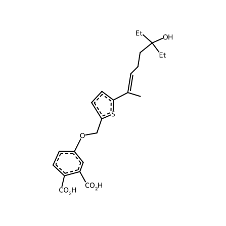 CCC(O)(CC)CC/C=C(\C)c1ccc(COc2ccc(C(=O)O)c(C(=O)O)c2)s1